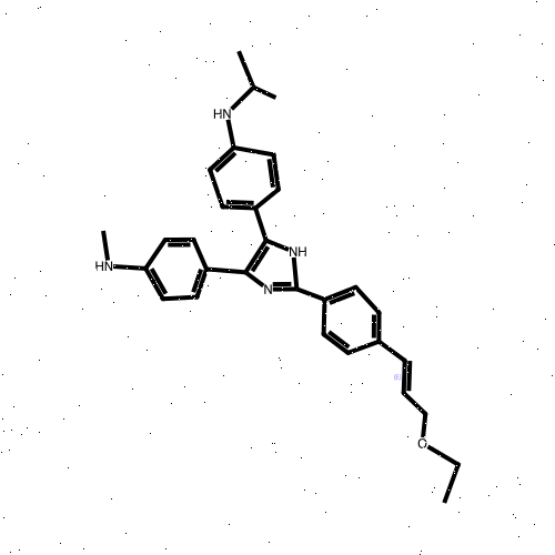 CCOC/C=C/c1ccc(-c2nc(-c3ccc(NC)cc3)c(-c3ccc(NC(C)C)cc3)[nH]2)cc1